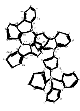 c1ccc([Si](c2ccccc2)(c2ccccc2)c2ccc(-n3c4ccccc4c4cc(-n5c6ccccc6c6cccc(-n7c8ccccc8c8ccccc87)c65)ccc43)cc2)cc1